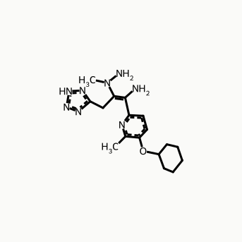 Cc1nc(/C(N)=C(\Cc2nn[nH]n2)N(C)N)ccc1OC1CCCCC1